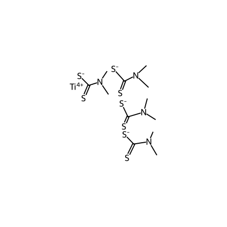 CN(C)C(=S)[S-].CN(C)C(=S)[S-].CN(C)C(=S)[S-].CN(C)C(=S)[S-].[Ti+4]